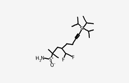 CC(C)[Si](C#CCCC(CC(C)(C)[S+](N)[O-])C(F)F)(C(C)C)C(C)C